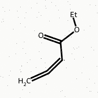 C=C=[C]C(=O)OCC